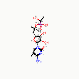 CC[C@](C)(C[C@H]1O[C@@H](n2cc(C)c(N)nc2=O)[C@H](O)[C@@H]1O)OP(=O)(O)C(C)O